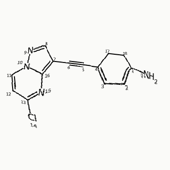 NC1=CC=C(C#Cc2cnn3ccc(Cl)nc23)CC1